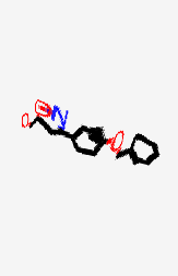 O=Cc1cc(-c2ccc(OCc3ccccc3)cc2)no1